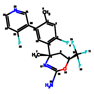 Cc1cc(F)c([C@]2(C)C[C@@H](C(F)(F)F)OC(N)=N2)cc1-c1cnccc1F